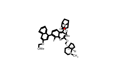 COCOc1cc(-c2ccc3c(N4CC5CCC(C4)N5C(=O)OC(C)(C)C)nc(OC[C@]45CCC[C@H]4N(C)CCC5)nc3c2F)c2ccccc2c1